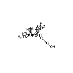 Nc1ncnc2c1ncn2[C@H]1C[C@@H]2OP(=O)(O)OC[C@H]3O[C@@H](n4ccc(=O)[nH]c4=O)[C@H](F)[C@@H]3OP(=O)(SCC(=O)COCCOCCOCCCO)OC[C@H]2O1